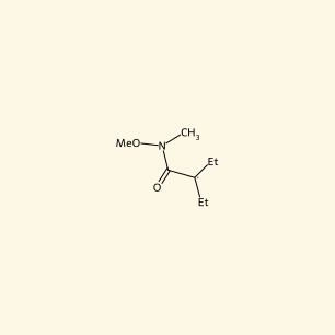 CC[C](CC)C(=O)N(C)OC